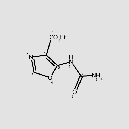 CCOC(=O)c1ncoc1NC(N)=O